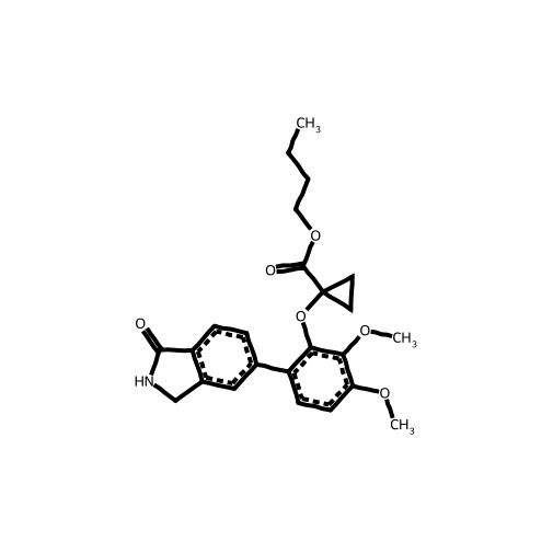 CCCCOC(=O)C1(Oc2c(-c3ccc4c(c3)CNC4=O)ccc(OC)c2OC)CC1